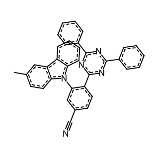 Cc1ccc2c(c1)c1ccccc1n2-c1cc(C#N)ccc1-c1nc(-c2ccccc2)nc(-c2ccccc2)n1